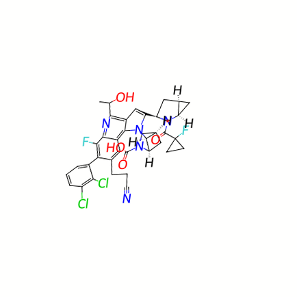 CC(O)c1nc2c(F)c(-c3cccc(Cl)c3Cl)c(CCC#N)cc2c2c1cc([C@H]1C[C@H]3C[C@H]3N1C(=O)C1(F)CC1)n2[C@H]1[C@@H]2C[C@H]1N(C(=O)O)C2